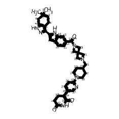 CC1(C)CCc2c(-c3cc4ccc(C(=O)N5CC6(CN(CC7CCN(c8ccc(C9CCC(=O)NC9=O)cn8)CC7)C6)C5)cc4[nH]3)n[nH]c2C1